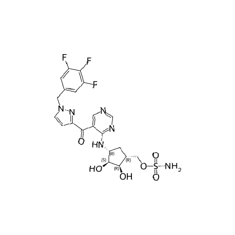 NS(=O)(=O)OC[C@H]1C[C@@H](Nc2ncncc2C(=O)c2ccn(Cc3cc(F)c(F)c(F)c3)n2)[C@H](O)[C@@H]1O